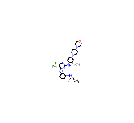 C=CC(=O)Nc1cccc(Nc2nc(Nc3ccc(N4CCC(N5CCOCC5)CC4)cc3OC)ncc2C(F)(F)F)c1